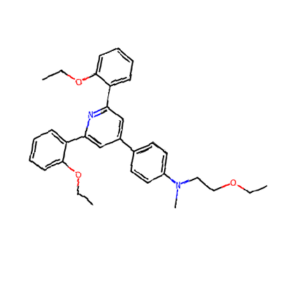 CCOCCN(C)c1ccc(-c2cc(-c3ccccc3OCC)nc(-c3ccccc3OCC)c2)cc1